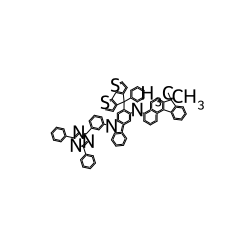 CC1(C)c2ccccc2-c2c1ccc1c(N3c4ccccc4C4(c5cc6c(cc53)c3ccccc3n6-c3cccc(-c5nc(-c6ccccc6)nc(-c6ccccc6)n5)c3)c3ccsc3-c3sccc34)cccc21